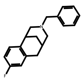 Fc1ccc2c(c1)CC1CC2CN(Cc2ccccc2)C1